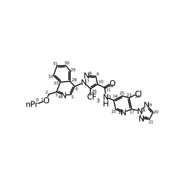 CCCOCc1ncc(-n2ncc(C(=O)Nc3cnc(-n4nccn4)c(Cl)c3)c2C(F)(F)F)c2ccccc12